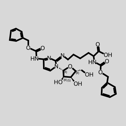 O=C(Nc1ccn([C@@H]2O[C@H](CO)[C@@H](O)[C@H]2O)c(=NCCCCC(NC(=O)OCc2ccccc2)C(=O)O)n1)OCc1ccccc1